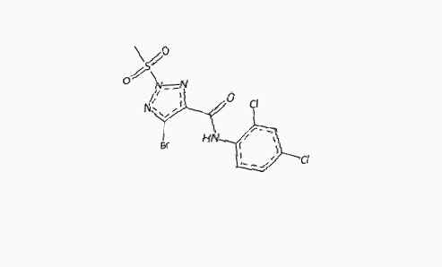 CS(=O)(=O)n1nc(Br)c(C(=O)Nc2ccc(Cl)cc2Cl)n1